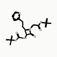 CC(C)(C)OC(=O)CN1C(=O)C(NC(=O)OC(C)(C)C)C1CCc1ccco1